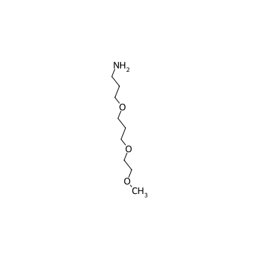 COCCOCCCOCCCN